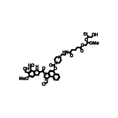 CCC(CO)OC(COC(=O)CCCC(=O)NCCN1CCN(C(=O)Oc2cc3c(c4ccccc24)[C@H](CCl)CN3C(=O)C2Cc3cc(OC)c(CO)c(CO)c3N2)CC1)OC